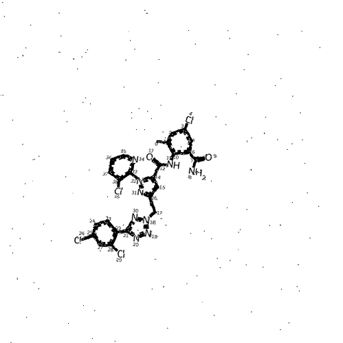 Cc1cc(Cl)cc(C(N)=O)c1NC(=O)c1cc(Cn2nnc(-c3ccc(Cl)cc3Cl)n2)nn1-c1ncccc1Cl